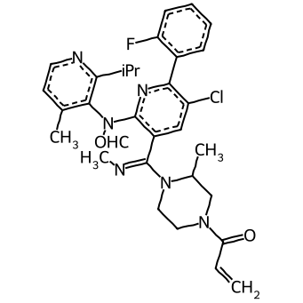 C=CC(=O)N1CCN(/C(=N/C)c2cc(Cl)c(-c3ccccc3F)nc2N(C=O)c2c(C)ccnc2C(C)C)C(C)C1